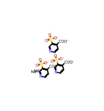 O=C([O-])c1ccncc1S(=O)(=O)[O-].O=C([O-])c1ccncc1S(=O)(=O)[O-].O=C([O-])c1ccncc1S(=O)(=O)[O-].[Nd+3].[Nd+3]